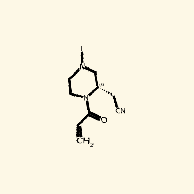 C=CC(=O)N1CCN(I)C[C@@H]1CC#N